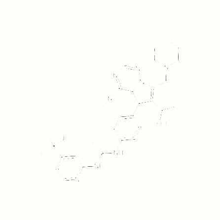 CC(O)C1=C(CN2CCOCC2)N2N=CN=C(N)C2C1c1ccc(NC(=O)Nc2cc(C(F)(F)F)ccn2)cc1